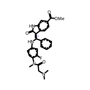 COC(=O)c1ccc2c(c1)NC(=O)/C2=C(\Nc1ccc(N(C)C(=O)CN(C)C)c(F)c1)c1ccccc1